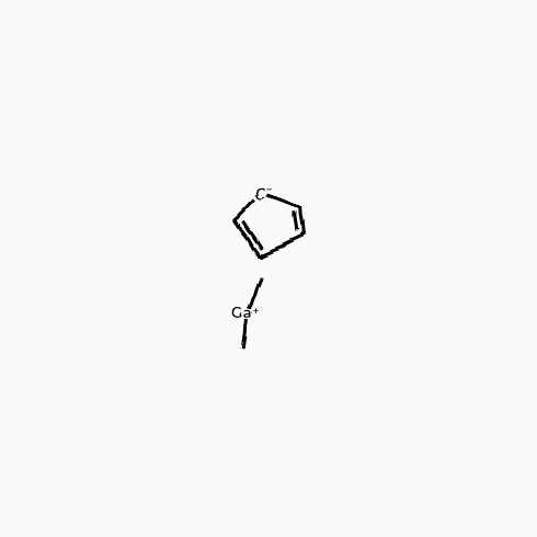 [CH3][Ga+][CH3].c1cc[cH-]c1